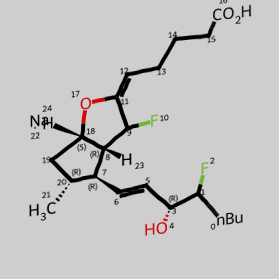 CCCCC(F)[C@H](O)C=C[C@@H]1[C@H]2C(F)C(=CCCCC(=O)O)O[C@H]2C[C@H]1C.[Na]